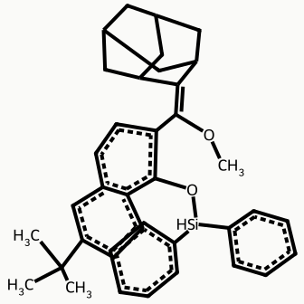 COC(=C1C2CC3CC(C2)CC1C3)c1ccc2cc(C(C)(C)C)ccc2c1O[SiH](c1ccccc1)c1ccccc1